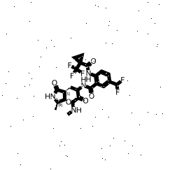 CNC(=O)C(=O)C(C[C@@H]1C[C@@H](C)NC1=O)NC(=O)c1cc(C(F)F)ccc1NC(=O)C1(C(F)(F)F)CC1